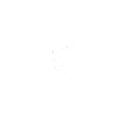 O.O.O.O.[Pt].[Zr]